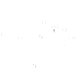 CC(=O)O[C@@H]1[C@@H](N2CC(OC(C)c3ccccc3)=CC2=O)c2cc(C#N)ccc2OC1(C)C